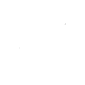 C#Cc1cc2c(cc1F)CC1CNCC2C1